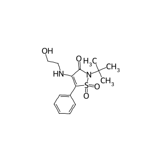 CC(C)(C)N1C(=O)C(NCCO)=C(c2ccccc2)S1(=O)=O